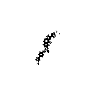 Cn1cc(-c2cnc3ccc4ccc(CS(=O)(=O)NCc5ccc(-c6c[nH]cn6)cc5)cc4c(=O)c3c2)cn1